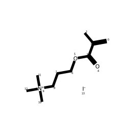 C=C(C)C(=O)OCCC[N+](C)(C)C.[I-]